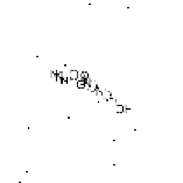 [N-]=[N+]=Nc1cccc(S(=O)(=O)N2CCC(N3CCC(CCO)CC3)CC2)c1